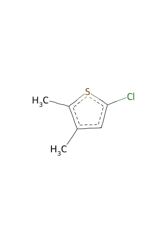 Cc1cc(Cl)sc1C